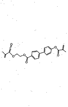 C=C(C)C(=O)Oc1ccc(-c2ccc(C(=O)OCCOC(=C=O)C(=C)C)cc2)cc1